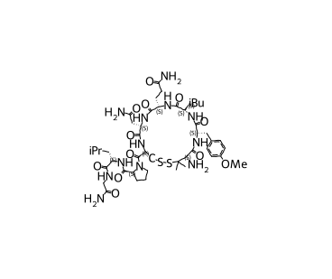 CC[C@H](C)[C@@H]1NC(=O)[C@H](Cc2ccc(OC)cc2)NC(=O)[C@H](N)C(C)(C)SSC[C@@H](C(=O)N2CCC[C@H]2C(=O)N[C@@H](CC(C)C)C(=O)NCC(N)=O)NC(=O)[C@H](CC(N)=O)NC(=O)[C@H](CCC(N)=O)NC1=O